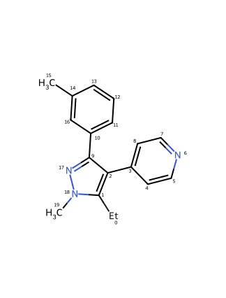 CCc1c(-c2ccncc2)c(-c2cccc(C)c2)nn1C